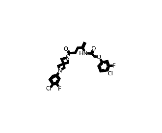 C=C(CCC(=O)N1CC2(C1)CN(c1ccc(Cl)c(F)c1)C2)NC(=O)COc1ccc(Cl)c(F)c1